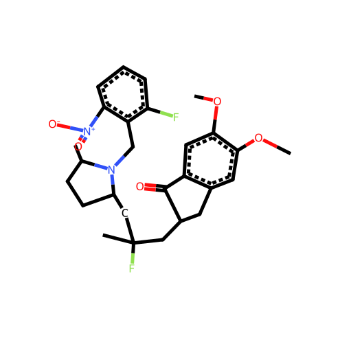 COc1cc2c(cc1OC)C(=O)C(CC(C)(F)CC1CCC(C)N1Cc1c(F)cccc1[N+](=O)[O-])C2